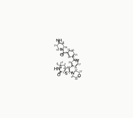 CC1(C)Cc2c(sc(N3CCOCC3)c2-c2ccnc(-c3cccc(C(=O)N4CCC(N)CC4)c3)c2)C(=O)N1